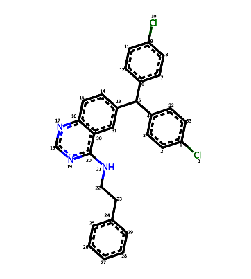 Clc1ccc(C(c2ccc(Cl)cc2)c2ccc3ncnc(NCCc4ccccc4)c3c2)cc1